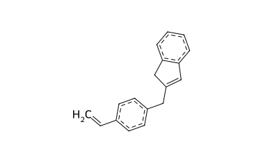 C=Cc1ccc(CC2=Cc3ccccc3C2)cc1